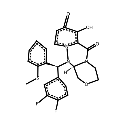 CSc1ccccc1[C@H](c1ccc(F)c(F)c1)N1[C@@H]2COCCN2C(=O)c2c(O)c(=O)ccn21